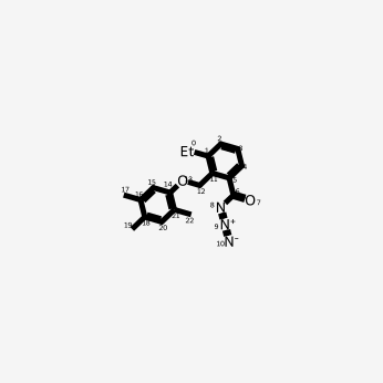 CCc1cccc(C(=O)N=[N+]=[N-])c1COc1cc(C)c(C)cc1C